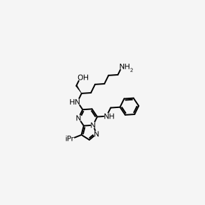 CC(C)c1cnn2c(NCc3ccccc3)cc(N[C@@H](CO)CCCCCN)nc12